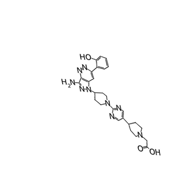 Nc1nn(C2CCN(c3ncc(C4CCN(CC(=O)O)CC4)cn3)CC2)c2cc(-c3ccccc3O)nnc12